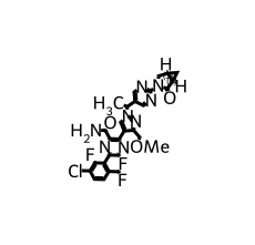 COCc1nn(C(C)c2cnc(N3C[C@H]4C[C@H]4C3=O)nc2)cc1-c1ncc(-c2c(C(F)F)ccc(Cl)c2F)nc1C(N)=O